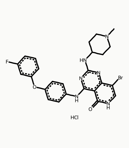 CN1CCC(Nc2nc(Nc3ccc(Oc4cccc(F)c4)cc3)c3c(=O)[nH]cc(Br)c3n2)CC1.Cl